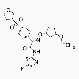 CCO[C@@H]1CC[C@@H](O/N=C(/C(=O)Nc2ncc(F)s2)c2ccc(S(=O)(=O)[C@H]3CCOC3)cc2)C1